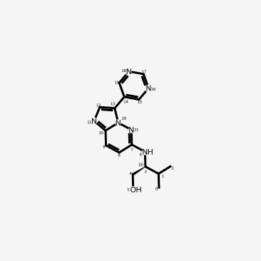 CC(C)[C@@H](CO)Nc1ccc2ncc(-c3cncnc3)n2n1